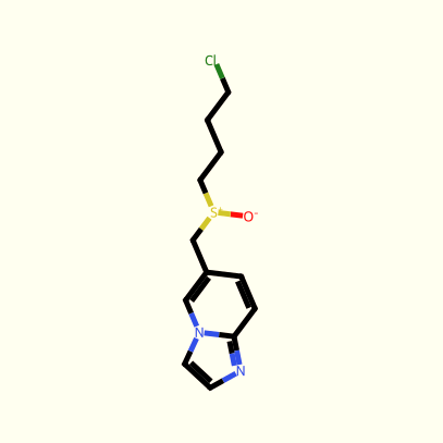 [O-][S+](CCCCCl)Cc1ccc2nccn2c1